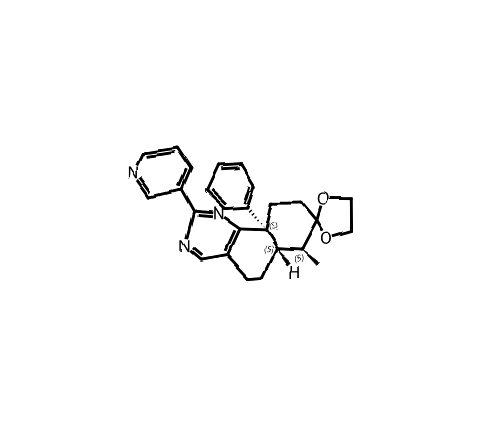 C[C@H]1[C@@H]2CCc3cnc(-c4cccnc4)nc3[C@@]2(c2ccccc2)CCC12OCCO2